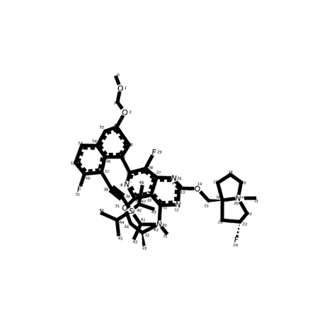 COCOc1cc(-c2nc3c4c(nc(OC[C@@]56CCC[N+]5(C)C[C@H](F)C6)nc4c2F)N(C)[C@@H](C)CO3)c2c(C#C[Si](C(C)C)(C(C)C)C(C)C)c(F)ccc2c1